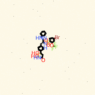 O=C1CC(c2ccc(C[C@H](NS(=O)(=O)c3ccc(Br)cc3OC(F)(F)F)c3nc4ccccc4[nH]3)cc2)S(O)(O)N1